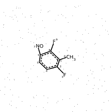 Cc1c(F)ccc(N=O)c1F